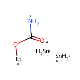 CCOC(N)=O.[SnH2].[SnH2]